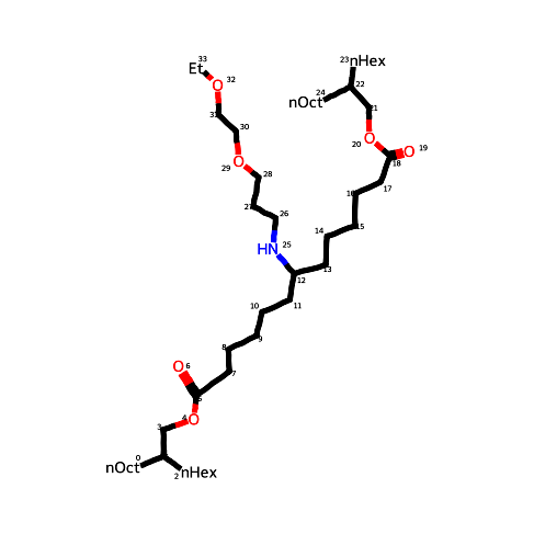 CCCCCCCCC(CCCCCC)COC(=O)CCCCCC(CCCCCC(=O)OCC(CCCCCC)CCCCCCCC)NCCCOCCOCC